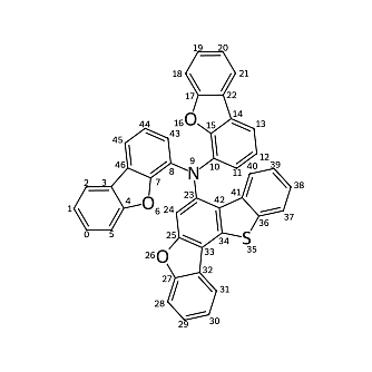 c1ccc2c(c1)oc1c(N(c3cccc4c3oc3ccccc34)c3cc4oc5ccccc5c4c4sc5ccccc5c34)cccc12